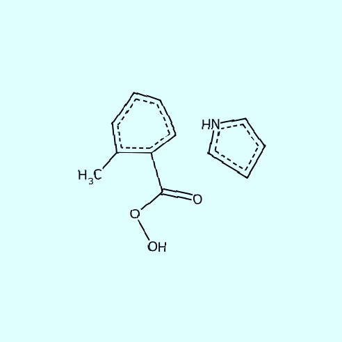 Cc1ccccc1C(=O)OO.c1cc[nH]c1